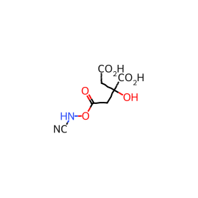 N#CNOC(=O)CC(O)(CC(=O)O)C(=O)O